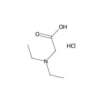 CCN(CC)CC(=O)O.Cl